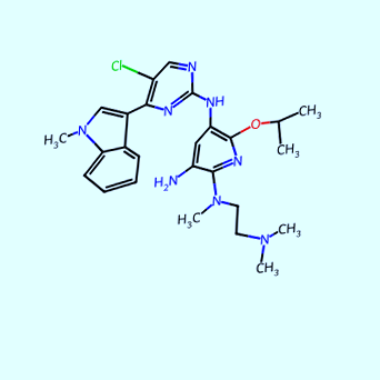 CC(C)Oc1nc(N(C)CCN(C)C)c(N)cc1Nc1ncc(Cl)c(-c2cn(C)c3ccccc23)n1